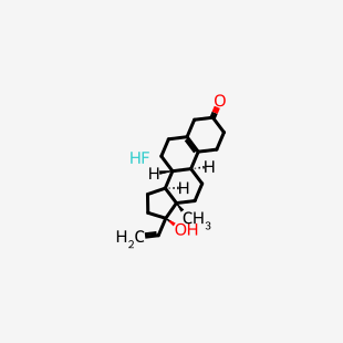 C=C[C@]1(O)CC[C@H]2[C@@H]3CCC4=C(CCC(=O)C4)[C@H]3CC[C@@]21C.F